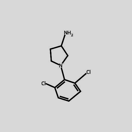 NC1CCN(c2c(Cl)cccc2Cl)C1